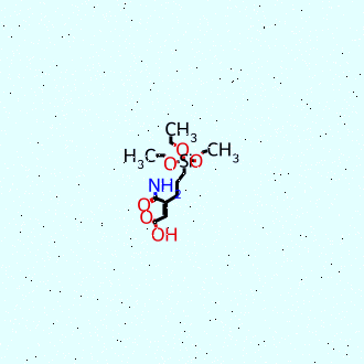 CCO[Si](CCC/C(=C/C(=O)O)C(N)=O)(OCC)OCC